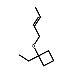 C/C=C/COC1(CC)CCC1